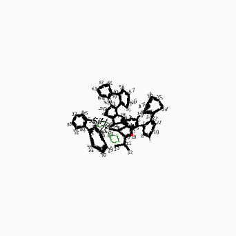 Cc1ccc2c(c1-c1ccccc1-c1ccccc1)C=C(C(C)C)[CH]2[Zr]([Cl])([Cl])([c]1cccc2c1[SiH2]c1ccccc1-2)[CH]1C(C(C)C)=Cc2c1ccc(C)c2-c1ccccc1-c1ccccc1